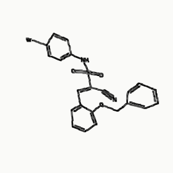 N#C/C(=C\c1ccccc1OCc1ccccc1)S(=O)(=O)Nc1ccc(Br)cc1